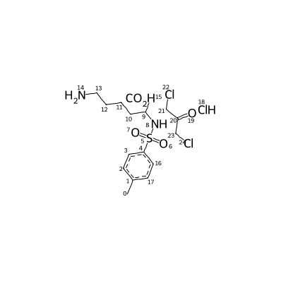 Cc1ccc(S(=O)(=O)NC(CCCCN)C(=O)O)cc1.Cl.O=C(CCl)CCl